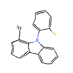 [2H]c1cccc2c3ccccc3n(-c3ccccc3F)c12